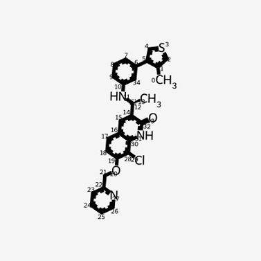 Cc1cscc1-c1cccc(N[C@@H](C)c2cc3ccc(OCc4ccccn4)c(Cl)c3[nH]c2=O)c1